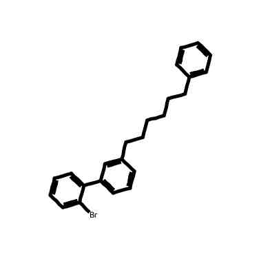 Brc1ccccc1-c1cccc(CCCCCCc2ccccc2)c1